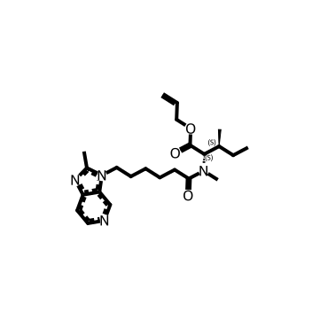 C=CCOC(=O)[C@H]([C@@H](C)CC)N(C)C(=O)CCCCCn1c(C)nc2ccncc21